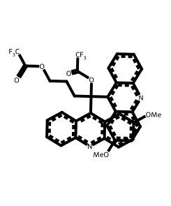 COc1ccc2nc3ccccc3c(C(CCCOC(=O)C(F)(F)F)(OC(=O)C(F)(F)F)c3c4ccccc4nc4ccc(OC)cc34)c2c1